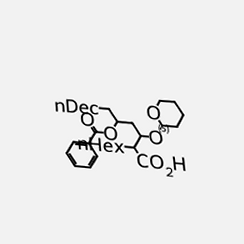 CCCCCCCCCCCC(CC(O[C@H]1CCCCO1)C(CCCCCC)C(=O)O)OC(=O)c1ccccc1